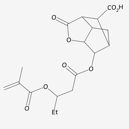 C=C(C)C(=O)OC(CC)CC(=O)OC1C2CC3C1OC(=O)C3C2C(=O)O